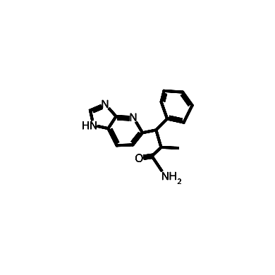 CC(C(N)=O)C(c1ccccc1)c1ccc2[nH]cnc2n1